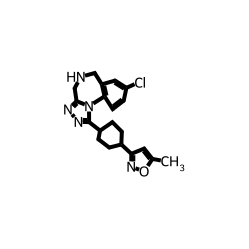 Cc1cc(C2CCC(c3nnc4n3-c3ccc(Cl)cc3CNC4)CC2)no1